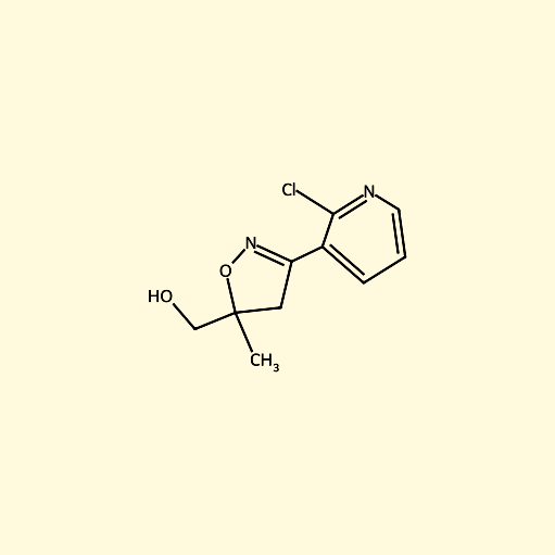 CC1(CO)CC(c2cccnc2Cl)=NO1